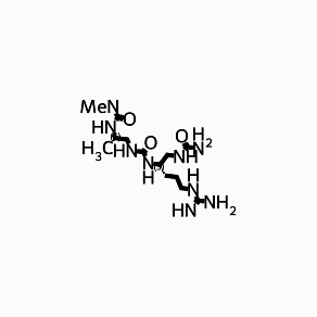 CNC(=O)N[C@@H](C)CNC(=O)N[C@@H](CCCNC(=N)N)CNC(N)=O